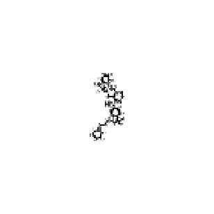 CC1(C)CN(CCCN2CCCCC2)c2cc(Nc3ncnc4c3CCN(c3ncccc3S(C)(=O)=O)C4)ccc21